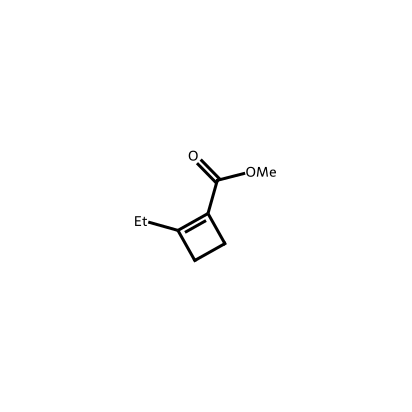 CCC1=C(C(=O)OC)CC1